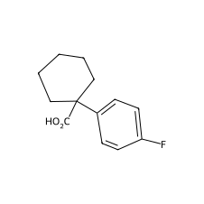 O=C(O)C1(c2ccc(F)cc2)CCCCC1